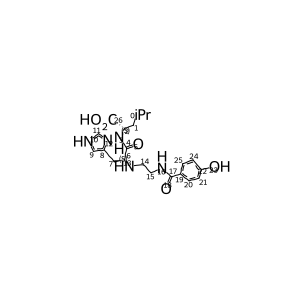 CC(C)C[C@H](NC(=O)[C@H](Cc1c[nH]cn1)NCCNC(=O)c1ccc(O)cc1)C(=O)O